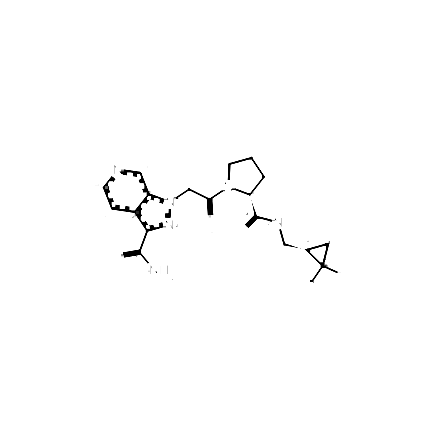 NC(=O)c1nn(CC(=O)N2CCC[C@H]2C(=O)NC[C@H]2CC2(Cl)Cl)c2cnccc12